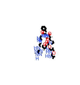 CC[C@H](C)[C@@H]([C@@H](CC(=O)N1CCC[C@H]1[C@H](OC)[C@@H](C)C(=O)N[C@@H](Cc1ccccc1)C(=O)NCc1cn(CCCNc2ncnc3[nH]cnc23)nn1)OC)N(C)C(=O)[C@@H](NC(=O)[C@@H](NC)C(C)C)C(C)C